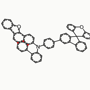 c1ccc(-c2ccccc2N(c2ccc(-c3ccc4c(c3)-c3ccccc3C43c4ccccc4Oc4ccccc43)cc2)c2ccc3c(ccc4c5ccccc5oc34)c2)cc1